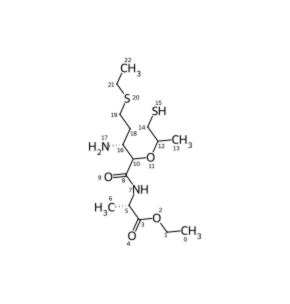 CCOC(=O)[C@H](C)NC(=O)C(OC(C)CS)[C@H](N)CCSCC